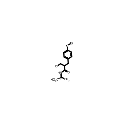 CCOc1ccc(CC(CS)C(=O)N[C@@H](C)C(=O)O)cc1